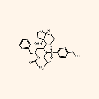 CC(C)CN([C@@H](C1CCO[C@H]2OCC[C@@H]12)[C@@H](O)[C@H](Cc1ccccc1)OC(N)=O)S(=O)(=O)c1ccc(CO)cc1